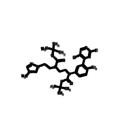 Cc1ccc(N(CCN(CCn2cc(N)cn2)C(=O)OC(C)(C)C)C(=O)OC(C)(C)C)cc1-c1nc(Cl)ncc1Cl